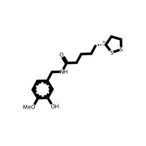 COc1ccc(CNC(=O)CCCC[C@@H]2CCSS2)cc1O